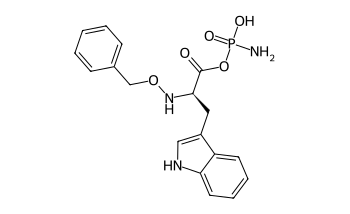 NP(=O)(O)OC(=O)[C@@H](Cc1c[nH]c2ccccc12)NOCc1ccccc1